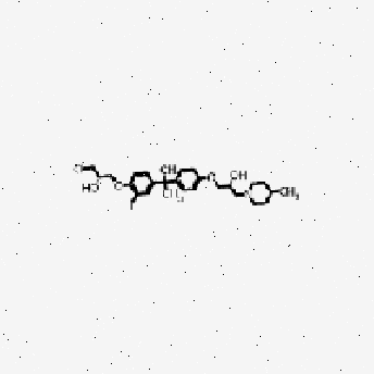 CC1CCN(C[C@H](O)COc2ccc(C(C)(C)c3ccc(OC[C@H](O)CCl)c(I)c3)cc2)CC1